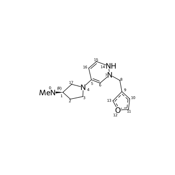 CN[C@@H]1CCN(C2=CN(Cc3ccoc3)NC=C2)C1